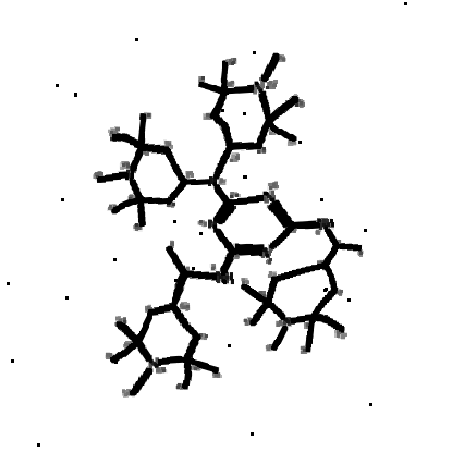 CC(Nc1nc(NC(C)C2CC(C)(C)N(C)C(C)(C)C2)nc(N(C2CC(C)(C)N(C)C(C)(C)C2)C2CC(C)(C)N(C)C(C)(C)C2)n1)C1CC(C)(C)N(C)C(C)(C)C1